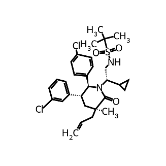 C=CC[C@@]1(C)C[C@H](c2cccc(Cl)c2)[C@@H](c2ccc(Cl)cc2)N([C@H](CNS(=O)(=O)C(C)(C)C)C2CC2)C1=O